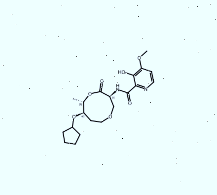 COc1ccnc(C(=O)N[C@H]2COCC[C@@H](OC3CCCC3)[C@H](C)OC2=O)c1O